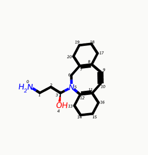 NCC[C@H](O)N1CC2=C(C#CC3=C1CCCC3)CCCC2